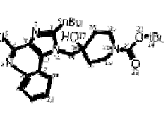 CCCCc1nc2c(Cl)nc3ccccc3c2n1CC1(O)CCN(C(=O)OC(C)(C)C)CC1